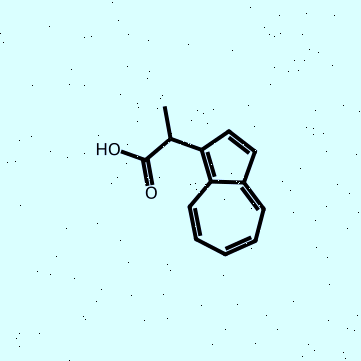 CC(C(=O)O)c1ccc2cccccc1-2